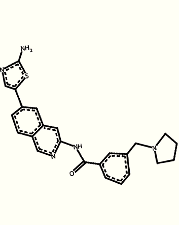 Nc1ncc(-c2ccc3cnc(NC(=O)c4cccc(CN5CCCC5)c4)cc3c2)s1